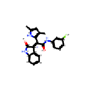 Cc1cc(C)c(/C(C(=O)Nc2cccc(F)c2)=C2\C(=O)Nc3ccccc32)[nH]1